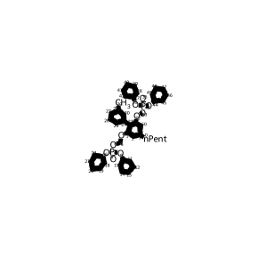 CCCCCc1cc(OCOP(=O)(Oc2ccccc2)Oc2ccccc2)c(-c2cccc(C)c2)c(OOP(=O)(Oc2ccccc2)Oc2ccccc2)c1